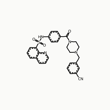 N#Cc1cccc(CN2CCN(C(=O)c3ccc(NS(=O)(=O)c4cccc5cccnc45)cc3)CC2)c1